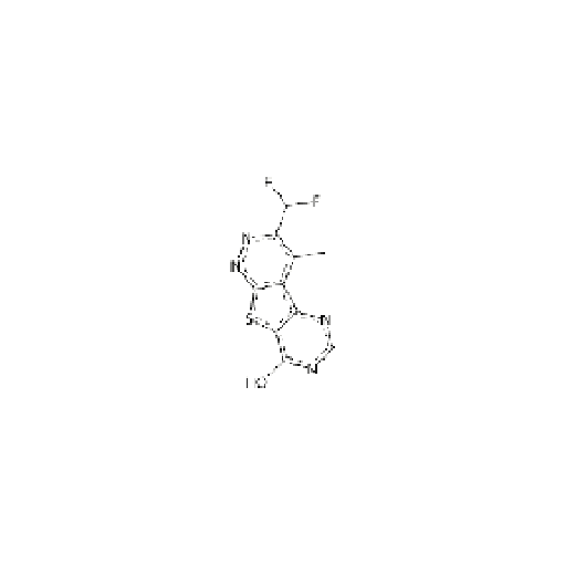 Cc1c(C(F)F)nnc2sc3c(O)ncnc3c12